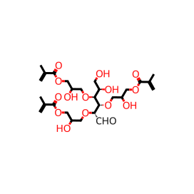 C=C(C)C(=O)OCC(O)CO[C@H]([C@H](OCC(O)COC(=O)C(=C)C)[C@H](C=O)OCC(O)COC(=O)C(=C)C)[C@H](O)CO